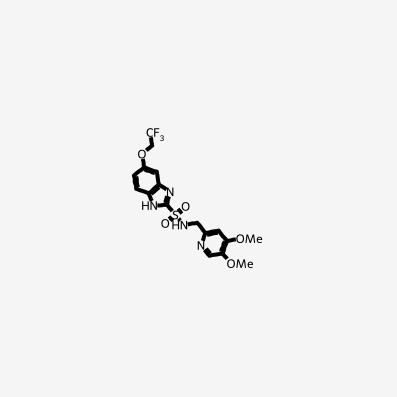 COc1cnc(CNS(=O)(=O)c2nc3cc(OCC(F)(F)F)ccc3[nH]2)cc1OC